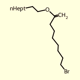 C=C(CCCCCCCBr)OCCCCCCCCC